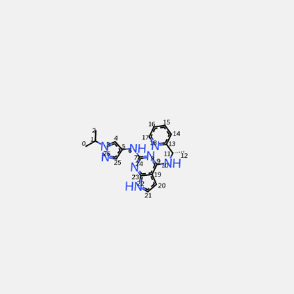 CC(C)n1cc(Nc2nc(N[C@@H](C)c3ccccn3)c3cc[nH]c3n2)cn1